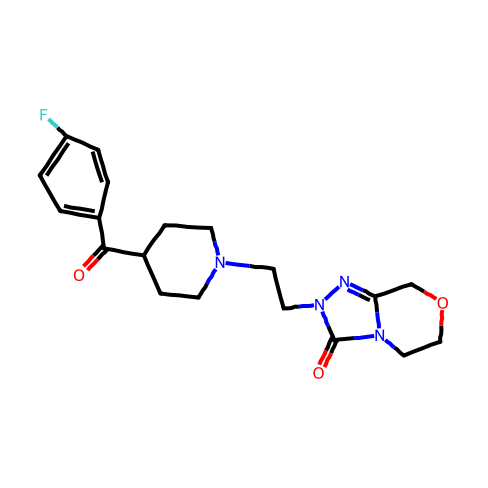 O=C(c1ccc(F)cc1)C1CCN(CCn2nc3n(c2=O)CCOC3)CC1